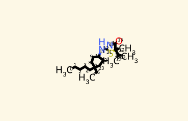 CCCCCC1(CC)CCC(NC2=NC(=O)C(C)(C(C)C)S2)CC1